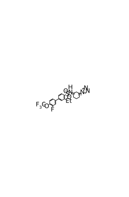 CCc1cc(-c2ccc(OC(F)(F)F)c(F)c2)ccc1S(=O)(=O)N[C@H]1CCC[C@@H](n2cnnc2)C1